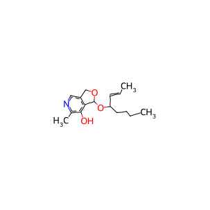 C/C=C/C(CCCC)OC1OCc2cnc(C)c(O)c21